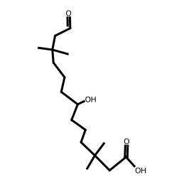 CC(C)(CC=O)CCCC(O)CCCC(C)(C)CC(=O)O